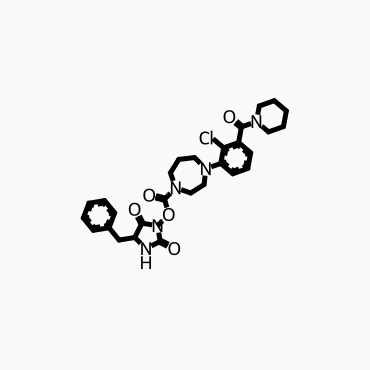 O=C(ON1C(=O)NC(Cc2ccccc2)C1=O)N1CCCN(c2cccc(C(=O)N3CCCCC3)c2Cl)CC1